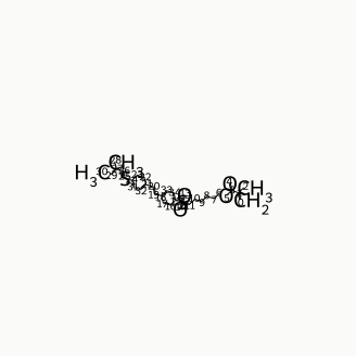 C=C(C)C(=O)OCCCCCCS(=O)(=O)c1ccc(C=Cc2ccc(SC[C@H](C)CC)cc2)cc1